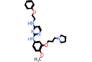 COc1ccc(Nc2nccc(NCCOc3ccccc3)n2)cc1OCCCN1CCCC1